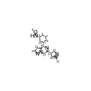 CONc1cccc(-c2nc(-c3cnn(C)c3)cn3nccc23)c1